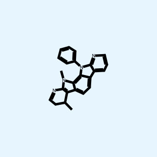 CC1CC=Nc2c1c1ccc3c4cccnc4n(-c4ccccc4)c3c1n2C